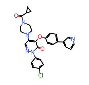 O=C(C1CC1)N1CCN(c2cnn(-c3ccc(Cl)cc3)c(=O)c2Oc2ccc(-c3cccnc3)cc2)CC1